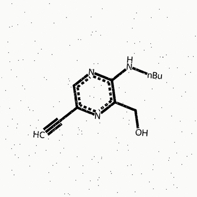 C#Cc1cnc(NCCCC)c(CO)n1